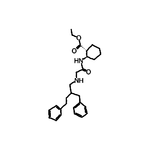 CCOC(=O)[C@@H]1CCCC[C@H]1NC(=O)CNCC(CCc1ccccc1)Cc1ccccc1